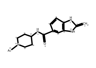 C=C1Nc2ccc(C(=O)NC3CCN(C(C)=O)CC3)cc2N1